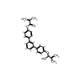 C=C(C)C(=O)Oc1ccc(-c2cccc(-c3ccc(OC(O)C(=C)C)cc3)c2)cc1